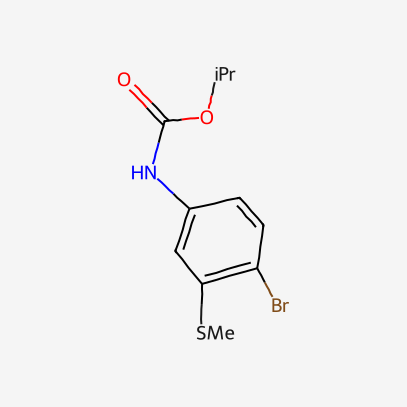 CSc1cc(NC(=O)OC(C)C)ccc1Br